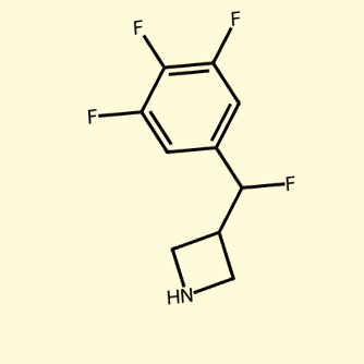 Fc1cc(C(F)C2CNC2)cc(F)c1F